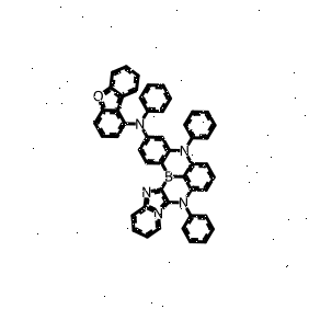 c1ccc(N2c3cc(N(c4ccccc4)c4cccc5oc6ccccc6c45)ccc3B3c4nc5ccccn5c4N(c4ccccc4)c4cccc2c43)cc1